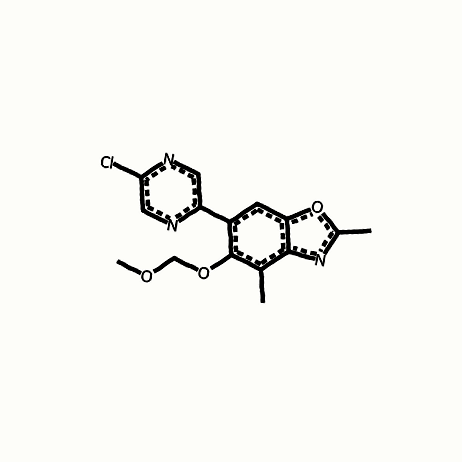 COCOc1c(-c2cnc(Cl)cn2)cc2oc(C)nc2c1C